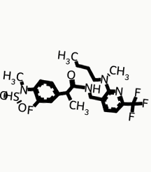 CCCCN(C)c1nc(C(F)(F)F)ccc1CNC(=O)C(C)c1ccc(N(C)[SH](=O)=O)c(F)c1